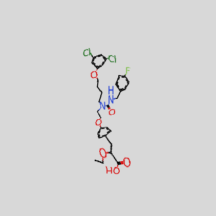 CCOC(Cc1ccc(OCCN(CCCCOc2cc(Cl)cc(Cl)c2)C(=O)NCc2ccc(F)cc2)cc1)C(=O)O